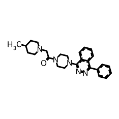 CC1CCN(CC(=O)N2CCN(c3nnc(-c4ccccc4)c4ccccc34)CC2)CC1